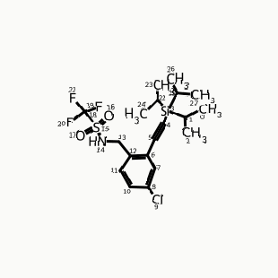 CC(C)[Si](C#Cc1cc(Cl)ccc1CNS(=O)(=O)C(F)(F)F)(C(C)C)C(C)C